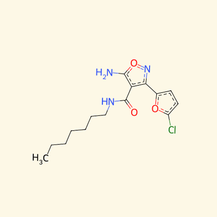 CCCCCCCNC(=O)c1c(-c2ccc(Cl)o2)noc1N